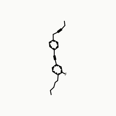 CCC#CCc1ccc(C#Cc2ccc(CCCCC)c(F)c2)cc1